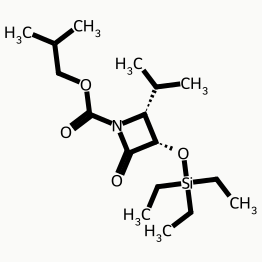 CC[Si](CC)(CC)O[C@@H]1C(=O)N(C(=O)OCC(C)C)[C@@H]1C(C)C